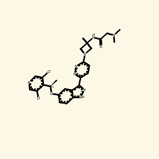 C[C@@H](Oc1ccc2[nH]nc(-c3ccc(N4CC(C)(NC(=O)CN(C)C)C4)nn3)c2c1)c1c(Cl)cncc1Cl